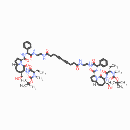 CC[C@@H](C(=O)N[C@@H]1C(=O)N2[C@@H](CC[C@@H]1CO)CC[C@H]2C(=O)N[C@H](C(=O)NCCNC(=O)CCC#CC#CCCC(=O)NCCNC(=O)[C@@H](NC(=O)[C@@H]1CC[C@@H]2CC[C@H](CO)[C@H](NC(=O)[C@H](CC)N(C)C(=O)OC(C)(C)C)C(=O)N21)c1ccccc1)c1ccccc1)N(C)C(=O)OC(C)(C)C